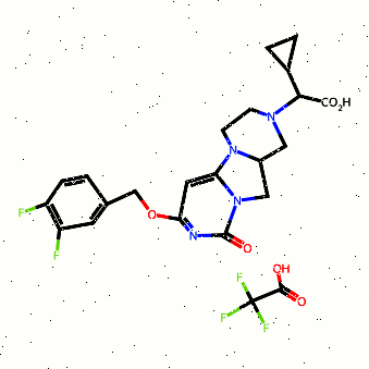 O=C(O)C(C1CC1)N1CCN2c3cc(OCc4ccc(F)c(F)c4)nc(=O)n3CC2C1.O=C(O)C(F)(F)F